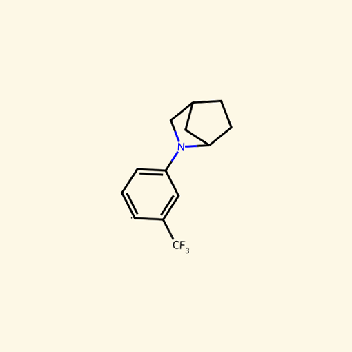 FC(F)(F)c1[c]ccc(N2CC3CCC2C3)c1